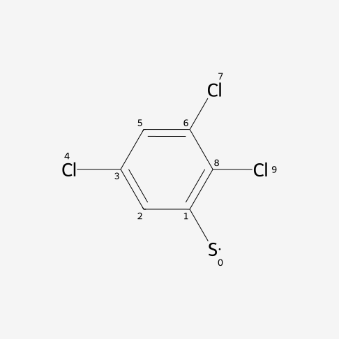 [S]c1cc(Cl)cc(Cl)c1Cl